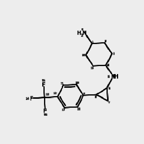 NC1CCC(NC2CC2c2ccc(C(F)(F)F)cc2)CC1